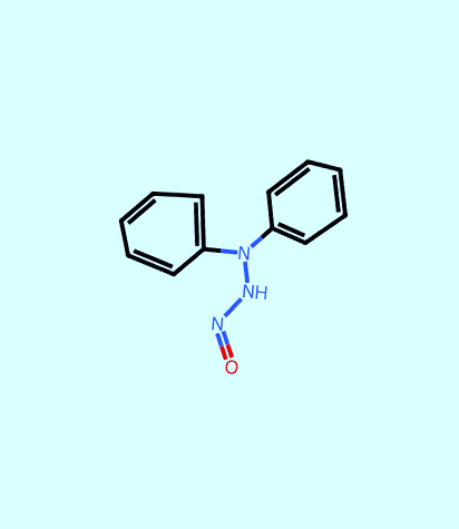 O=NNN(c1ccccc1)c1ccccc1